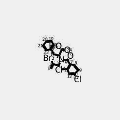 C=C(Br)CN(C(=O)c1ccc(Cl)cc1Cl)C(Cc1ccccc1)C(=O)O